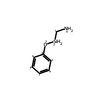 NC[SiH2]Oc1ccccc1